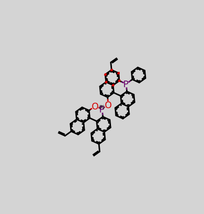 C=Cc1ccc2c(-c3c(P(c4ccccc4)c4ccccc4)ccc4ccccc34)c(O[P@@]3Oc4ccc5cc(C=C)ccc5c4-c4c3ccc3cc(C=C)ccc43)ccc2c1